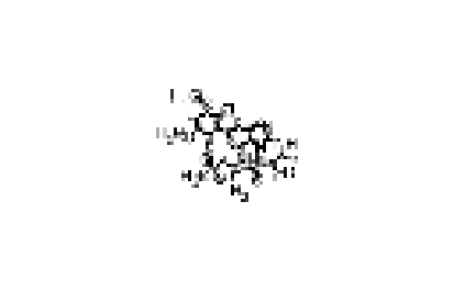 C=CC(=O)N[C@H]1COC[C@H]1Nc1ncc2cc(-c3c(Cl)c(OC)cc(OC)c3Cl)nc(NCCS(C)(=O)=O)c2n1